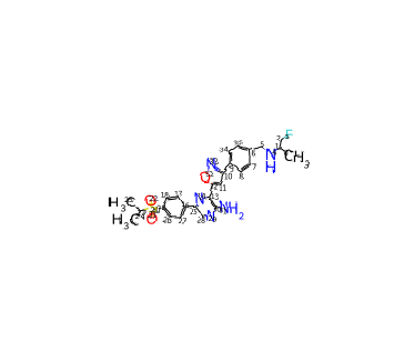 CC(CF)NCc1ccc(-c2cc(-c3nc(-c4ccc(S(=O)(=O)C(C)C)cc4)cnc3N)on2)cc1